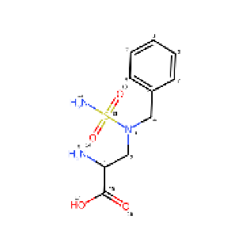 NC(CN(Cc1ccccc1)S(N)(=O)=O)C(=O)O